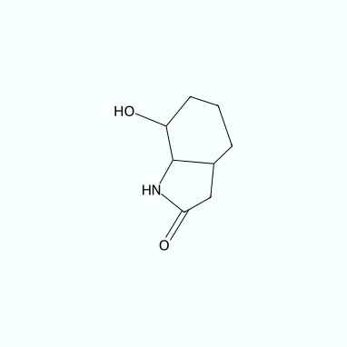 O=C1CC2CCCC(O)C2N1